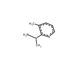 Cc1cccnc1N(C)N